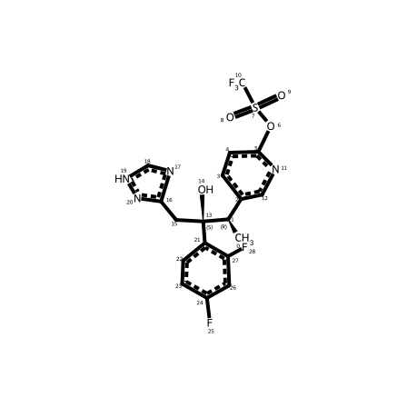 C[C@H](c1ccc(OS(=O)(=O)C(F)(F)F)nc1)[C@@](O)(Cc1nc[nH]n1)c1ccc(F)cc1F